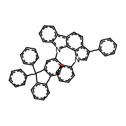 c1ccc(-c2cn(-c3ccccc3)c3c2ccc2c4ccccc4n(-c4ccc5c(c4)C(c4ccccc4)(c4ccccc4)c4ccccc4-5)c23)cc1